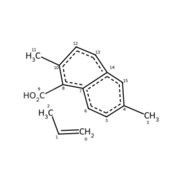 C=CC.Cc1ccc2c(C(=O)O)c(C)ccc2c1